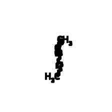 CCCCC1CCC(CCc2ccc(OCCOC)cc2)CC1